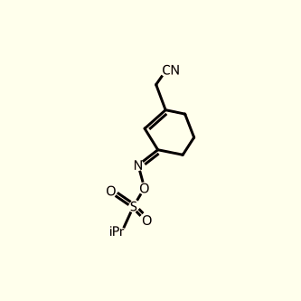 CC(C)S(=O)(=O)O/N=C1/C=C(CC#N)CCC1